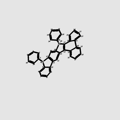 c1ccc(-n2c3ccccc3c3cc4c5c6ccccc6c6ccccc6c5n(-c5ccccc5)c4cc32)cc1